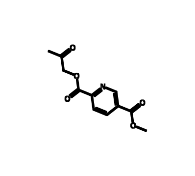 COC(=O)c1ccc(C(=O)OCC(C)=O)nc1